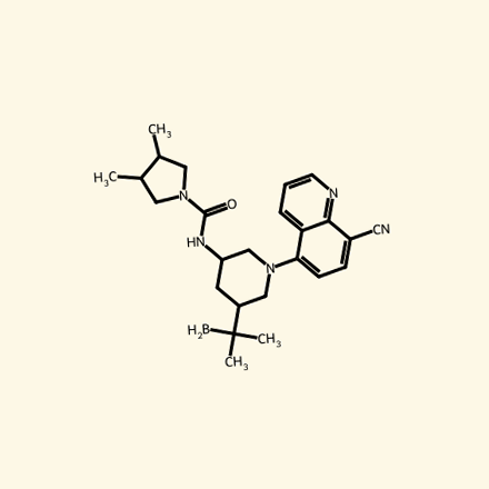 BC(C)(C)C1CC(NC(=O)N2CC(C)C(C)C2)CN(c2ccc(C#N)c3ncccc23)C1